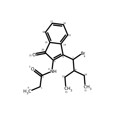 CCC(=O)NC1=C(C(Br)C(CC)CC)c2ccccc2C1=O